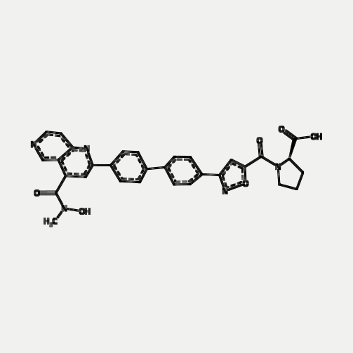 CN(O)C(=O)c1cc(-c2ccc(-c3ccc(-c4cc(C(=O)N5CCC[C@@H]5C(=O)O)on4)cc3)cc2)nc2ccncc12